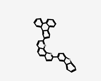 c1ccc2c(c1)sc1ccc(-c3ccc4ccc5ccc(-c6ccc7c8ccccc8c8ccccc8c7c6)nc5c4n3)cc12